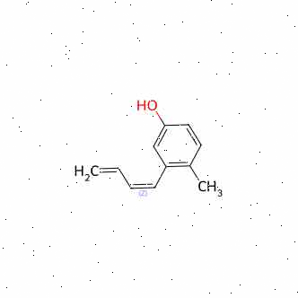 C=C/C=C\c1cc(O)ccc1C